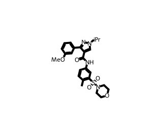 COc1cccc(-c2nn(C(C)C)cc2C(=O)Nc2ccc(C)c(S(=O)(=O)N3CCOCC3)c2)c1